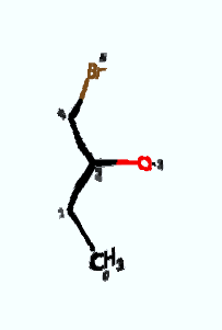 CCC([O])CBr